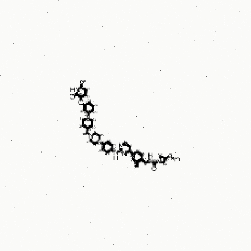 Cc1cc(-c2ccnc(Nc3ccc(N4CCN(CC5CCN(c6cccc(OC7CCC(=O)NC7=O)c6)CC5)CC4)cc3)n2)ccc1CNC(=O)N1CC(OC(C)C)C1